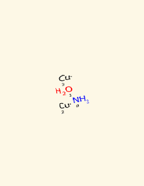 N.O.[Cu].[Cu]